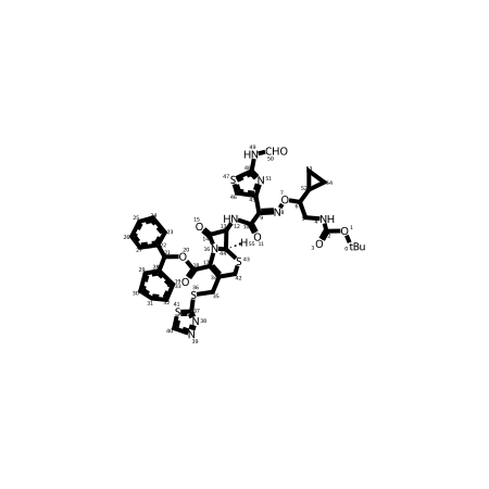 CC(C)(C)OC(=O)NCC(O/N=C(/C(=O)NC1C(=O)N2C(C(=O)OC(c3ccccc3)c3ccccc3)=C(CSc3nncs3)CS[C@H]12)c1csc(NC=O)n1)C1CC1